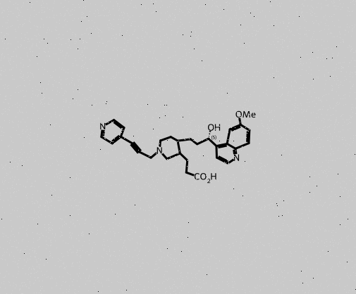 COc1ccc2nccc([C@@H](O)CCC3CCN(CC#Cc4ccncc4)CC3CCC(=O)O)c2c1